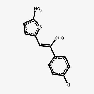 O=CC(=Cc1ccc([N+](=O)[O-])s1)c1ccc(Cl)cc1